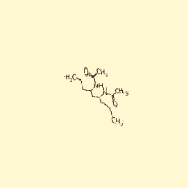 [CH2]CCC(CC(CC[CH2])NC(C)=O)NC(C)=O